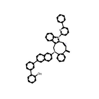 C=C1/C=C\c2c(c3ccccc3n2-c2cccc(-c3ccccc3)n2)CN(c2ccc3cc(-c4cccc(-c5ccccc5O)c4)ccc3c2)c2ccccc21